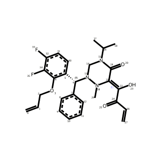 C=CCOc1c([C@@H](c2ccccc2)N2CN(C(C)C)C(=O)/C(=C(\O)C(=O)C=C)N2C)ccc(F)c1F